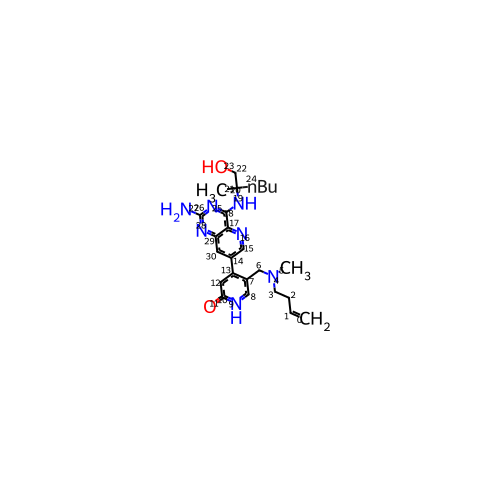 C=CCCN(C)Cc1c[nH]c(=O)cc1-c1cnc2c(NC(C)(CO)CCCC)nc(N)nc2c1